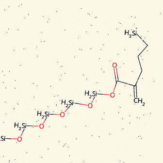 C=C(CCC[SiH3])C(=O)O[SiH2]O[SiH2]O[SiH2]O[SiH2]O[SiH3]